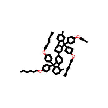 C#CC#CC#COc1ccc(C2(c3ccc(OC#CC)cc3)c3cc(C)ccc3-c3ccc(-c4ccc5c(c4)C(c4ccc(OC#CC#CC#C)cc4)(c4ccc(OCCCCCC)cc4)c4cccc(C)c4-5)cc32)cc1